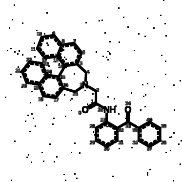 O=C(CN1Cc2ccc3ccccc3c2-c2c(ccc3ccccc23)C1)Nc1ccccc1C(=O)c1ccccc1